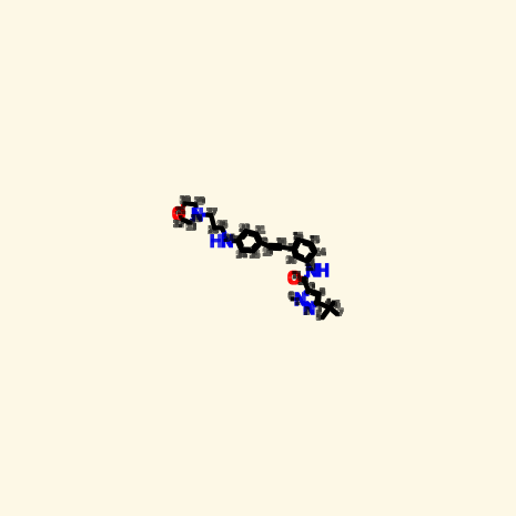 Cn1nc(C(C)(C)C)cc1C(=O)Nc1cccc(C#Cc2ccc(NCCCN3CCOCC3)cc2)c1